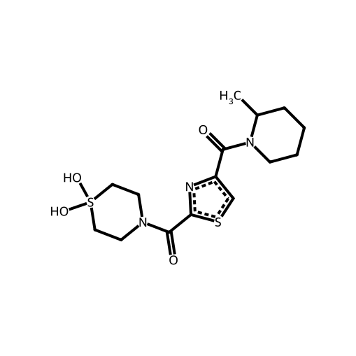 CC1CCCCN1C(=O)c1csc(C(=O)N2CCS(O)(O)CC2)n1